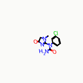 CN1CC(=O)N=C1N(C(N)=O)c1cccc(Cl)c1